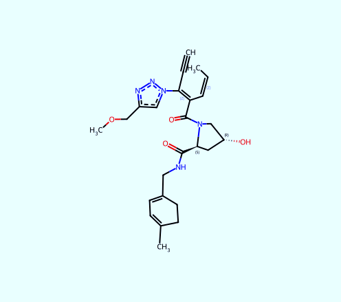 C#C/C(=C(\C=C/C)C(=O)N1C[C@H](O)C[C@H]1C(=O)NCC1=CC=C(C)CC1)n1cc(COC)nn1